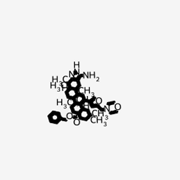 CC1(C)CC[C@]2(C(=O)OCc3ccccc3)CC[C@]3(C)C(=C(c4coc(CN5CCOCC5)c4)CC4[C@@]5(C)Cc6c(n[nH]c6N)C(C)(C)[C@@H]5CC[C@]43C)[C@@H]2C1